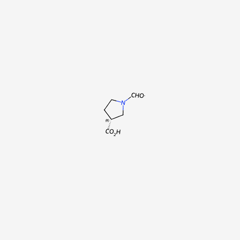 O=[C]N1CC[C@@H](C(=O)O)C1